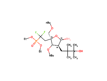 B[C@@H]1O[C@](COCCCC)(CC(F)(F)P(=O)(OCC)OCC)C(OCCCC)[C@@H]1CC(C)(C)[Si](C)(C)O